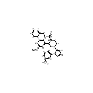 CNc1nccc(C2CC(c3nccn3-c3cccc(C(F)(F)F)c3)CCN2C(=O)OCc2ccccc2)n1